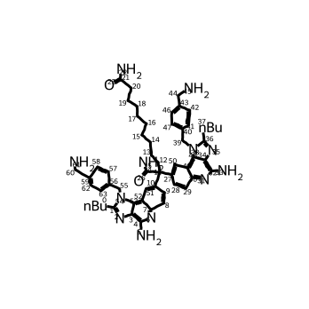 CCCCc1nc2c(N)nc3ccc(C(CCCCCCCCCC(N)=O)(C(N)=O)c4ccc5nc(N)c6nc(CCCC)n(Cc7ccc(CN)cc7)c6c5c4)cc3c2n1Cc1ccc(CN)cc1